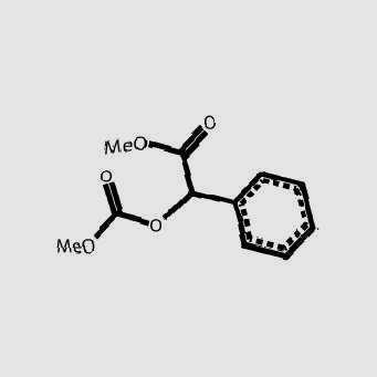 COC(=O)OC(C(=O)OC)c1cc[c]cc1